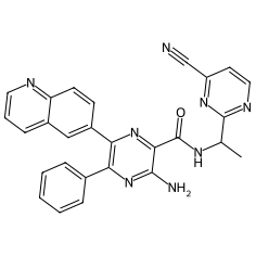 CC(NC(=O)c1nc(-c2ccc3ncccc3c2)c(-c2ccccc2)nc1N)c1nccc(C#N)n1